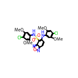 COc1cc(Nc2ccc3nonc3c2S(=O)(=O)Nc2cc(OC)c(Cl)cc2OC)c(OC)cc1Cl